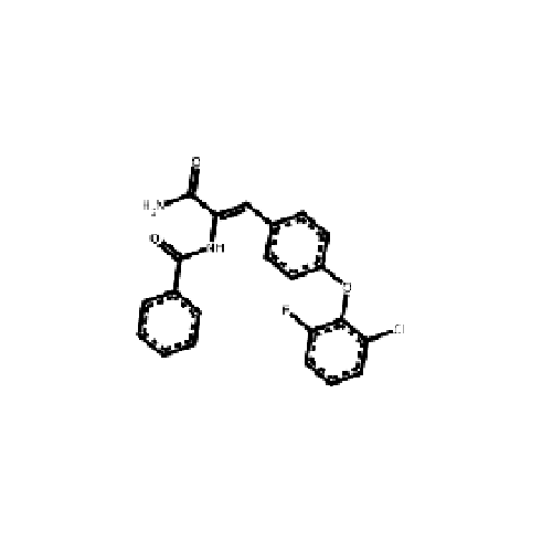 NC(=O)/C(=C/c1ccc(Oc2c(F)cccc2Cl)cc1)NC(=O)c1ccccc1